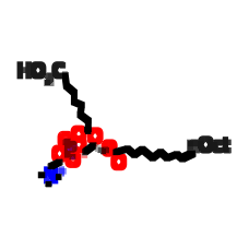 CCCCCCCC/C=C\CCCCCCCC(=O)OC[C@H](COP(=O)([O-])OCC[N+](C)(C)C)OC(=O)CCCCCCCC(=O)O